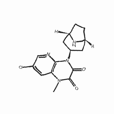 Cn1c(=O)c(=O)n([C@@H]2C[C@H]3CC[C@@H](C2)N3)c2ncc(Cl)cc21